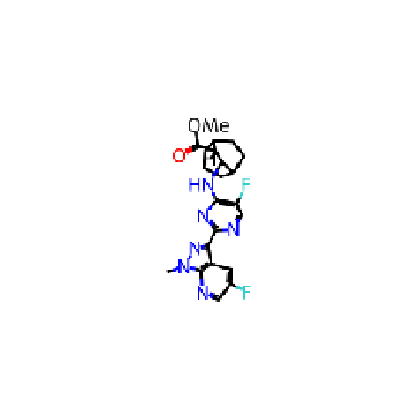 COC(=O)[C@@H]1C2CCCC(CC2)C1Nc1nc(-c2nn(C)c3ncc(F)cc23)ncc1F